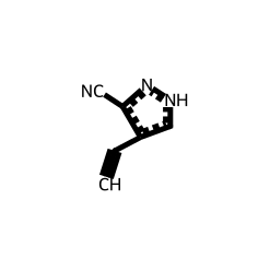 C#Cc1c[nH]nc1C#N